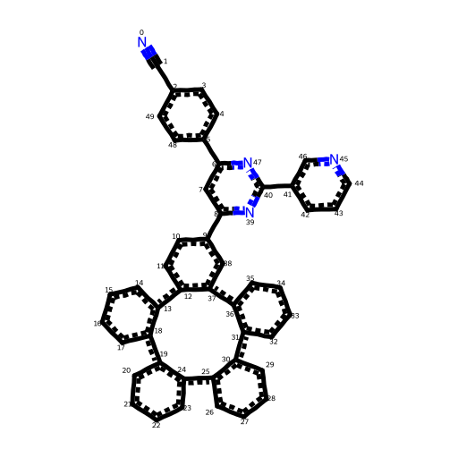 N#Cc1ccc(-c2cc(-c3ccc4c5ccccc5c5ccccc5c5ccccc5c5ccccc5c4c3)nc(-c3cccnc3)n2)cc1